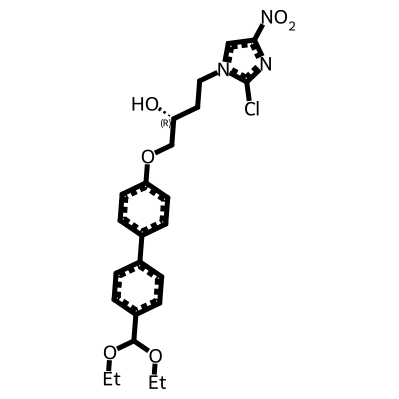 CCOC(OCC)c1ccc(-c2ccc(OC[C@H](O)CCn3cc([N+](=O)[O-])nc3Cl)cc2)cc1